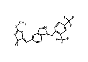 CSC1=NC(=O)C(=Cc2ccc3c(cnn3Cc3ccc(C(F)(F)F)cc3C(F)(F)F)c2)S1